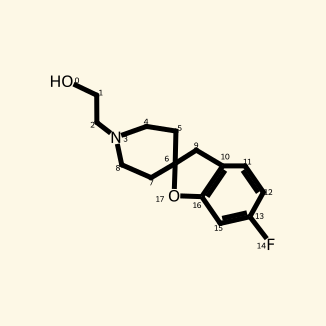 OCCN1CCC2(CC1)Cc1ccc(F)cc1O2